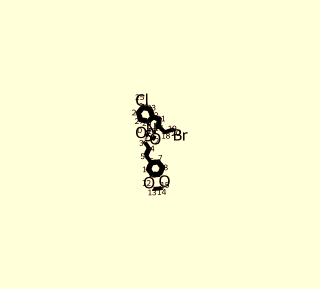 O=S(=O)(CC=Cc1ccc2c(c1)OCCO2)n1c(CCBr)cc2cc(Cl)ccc21